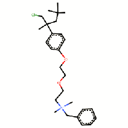 CC(C)(C)CC(C)(CCl)c1ccc(OCCOCC[N+](C)(C)Cc2ccccc2)cc1